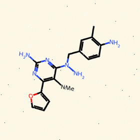 CNc1c(-c2ccco2)nc(N)nc1N(N)Cc1ccc(N)c(C)c1